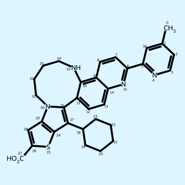 Cc1ccnc(-c2ccc3c4c(ccc3n2)-c2c(C3CCCCC3)c3sc(C(=O)O)cc3n2CCCCN4)c1